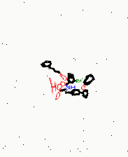 O=C(N[C@@H](Cc1ccc(-c2ccccc2Oc2ccccc2)cc1)C(=O)O)c1cc(Br)ccc1OCCCCc1ccccc1